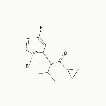 CC(C)N(C(=O)C1CC1)c1cc(F)ccc1Br